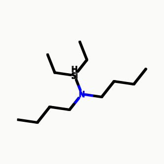 CCCCN(CCCC)[SiH](CC)CC